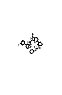 O=C(CC1CCCCC1)Nc1cncc(-c2ccc3[nH]nc(-c4nc5c(-c6cccc(F)c6)ccnc5[nH]4)c3n2)c1